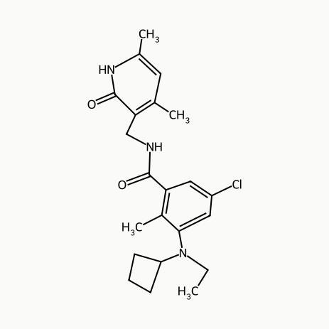 CCN(c1cc(Cl)cc(C(=O)NCc2c(C)cc(C)[nH]c2=O)c1C)C1CCC1